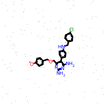 COc1ccc(COCc2nc(N)nc(N)c2-c2ccc(NCc3ccc(Cl)cc3)cc2)cc1